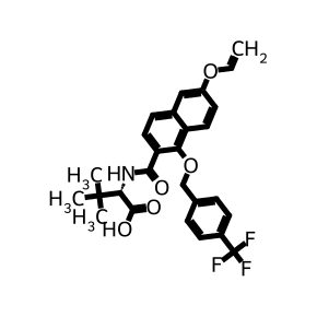 C=COc1ccc2c(OCc3ccc(C(F)(F)F)cc3)c(C(=O)N[C@H](C(=O)O)C(C)(C)C)ccc2c1